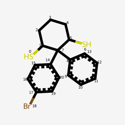 SC1CCCC(S)C1(c1ccccc1)c1ccc(Br)cc1